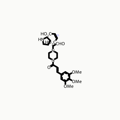 C1CCNC1.COc1cc(C=CC(=O)N2CCN(CC=O)CC2)cc(OC)c1OC.O=C(O)/C=C\C(=O)O